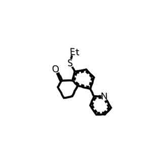 CCSc1ccc(-c2ccccn2)c2c1C(=O)CCC2